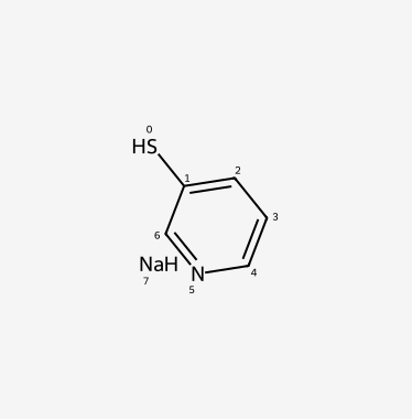 Sc1cccnc1.[NaH]